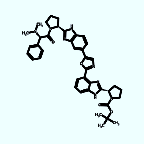 CN(C)[C@@H](C(=O)N1CCC[C@H]1c1nc2cc(-c3cnc(-c4cccc5[nH]c([C@@H]6CCCN6C(=O)OC(C)(C)C)nc45)o3)ccc2[nH]1)c1ccccc1